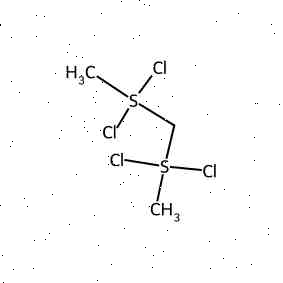 CS(Cl)(Cl)CS(C)(Cl)Cl